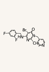 Cc1nc(NCc2ccc(F)cc2F)c(Br)c(=O)n1Cc1ccncc1